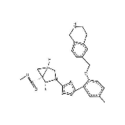 COC(=O)[C@]12C[C@H]1CN(c1nc(-c3cc(C)ccc3OCc3ccc4c(c3)CCNC4)cs1)[C@@H]2C